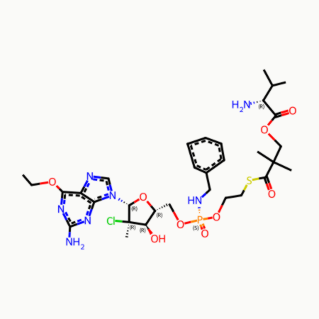 CCOc1nc(N)nc2c1ncn2[C@@H]1O[C@H](CO[P@@](=O)(NCc2ccccc2)OCCSC(=O)C(C)(C)COC(=O)[C@H](N)C(C)C)[C@@H](O)[C@@]1(C)Cl